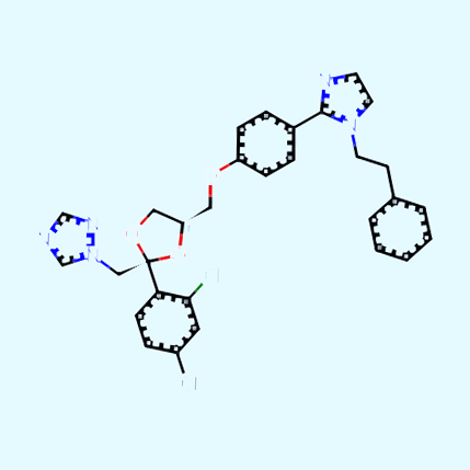 Cc1ccc([C@]2(Cn3cncn3)OC[C@@H](COc3ccc(-c4nccn4CCc4ccccc4)cc3)O2)c(Cl)c1